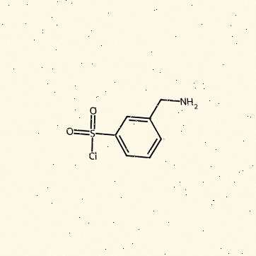 NCc1[c]ccc(S(=O)(=O)Cl)c1